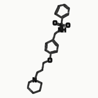 O=S(=O)(NCc1ccc(OCCCN2CCCCC2)cc1)c1ccccc1